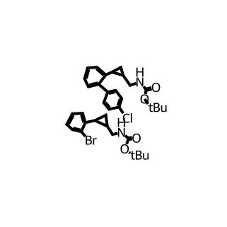 CC(C)(C)OC(=O)NCC1CC1c1ccccc1-c1ccc(Cl)cc1.CC(C)(C)OC(=O)NCC1CC1c1ccccc1Br